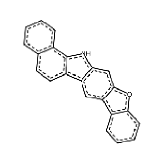 c1ccc2c(c1)ccc1c3cc4c(cc3[nH]c21)oc1ccccc14